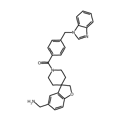 NCc1ccc2c(c1)C1(CCN(C(=O)c3ccc(Cn4cnc5ccccc54)cc3)CC1)CO2